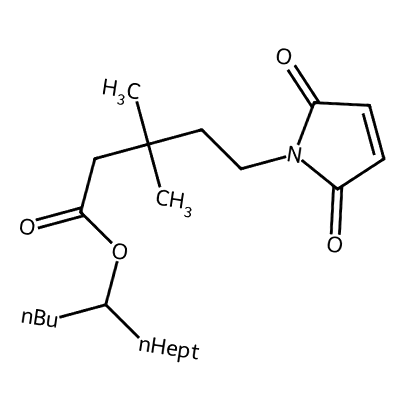 CCCCCCCC(CCCC)OC(=O)CC(C)(C)CCN1C(=O)C=CC1=O